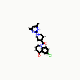 Cc1cc(C)nc(N2CCC(C(=O)N3CCCC(=O)c4cc(Cl)ccc43)CC2)n1